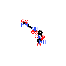 COCC(=O)NCCCCNC(=O)COc1cccc2c1C(=O)N(C1CCC(=O)NC1=O)C2=O